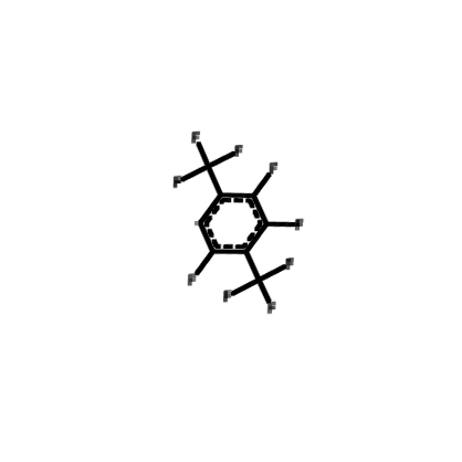 Fc1[c]c(C(F)(F)F)c(F)c(F)c1C(F)(F)F